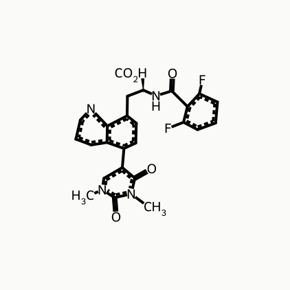 Cn1cc(-c2ccc(C[C@H](NC(=O)c3c(F)cccc3F)C(=O)O)c3ncccc23)c(=O)n(C)c1=O